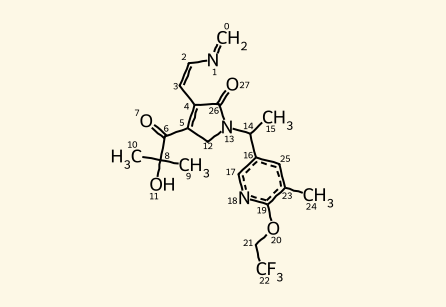 C=N/C=C\C1=C(C(=O)C(C)(C)O)CN(C(C)c2cnc(OCC(F)(F)F)c(C)c2)C1=O